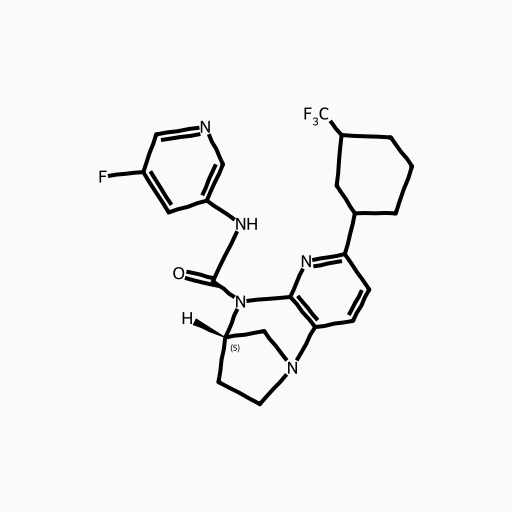 O=C(Nc1cncc(F)c1)N1c2nc(C3CCCC(C(F)(F)F)C3)ccc2N2CC[C@H]1C2